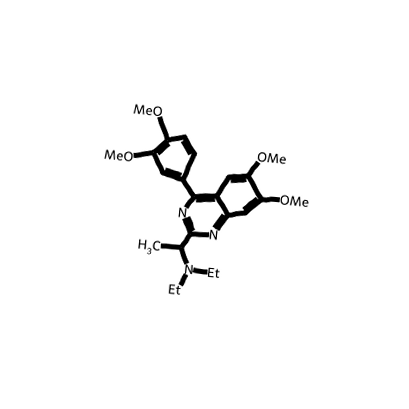 CCN(CC)C(C)c1nc(-c2ccc(OC)c(OC)c2)c2cc(OC)c(OC)cc2n1